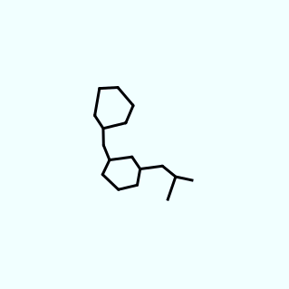 CC(C)CC1CCCC(CC2CCCCC2)C1